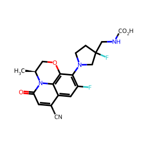 C[C@H]1COc2c(N3CCC(F)(CNC(=O)O)C3)c(F)cc3c(C#N)cc(=O)n1c23